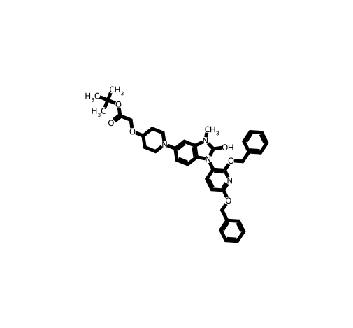 CN1c2cc(N3CCC(OCC(=O)OC(C)(C)C)CC3)ccc2N(c2ccc(OCc3ccccc3)nc2OCc2ccccc2)C1O